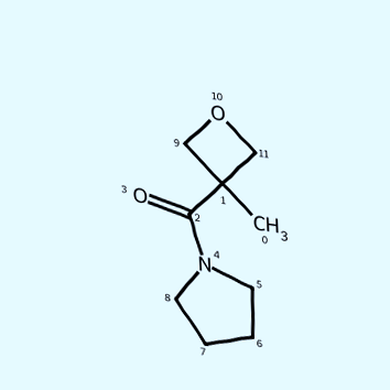 CC1(C(=O)N2CCCC2)COC1